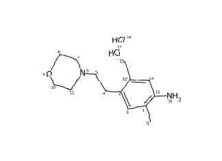 Cc1cc(CCN2CCOCC2)c(C)cc1N.Cl.Cl